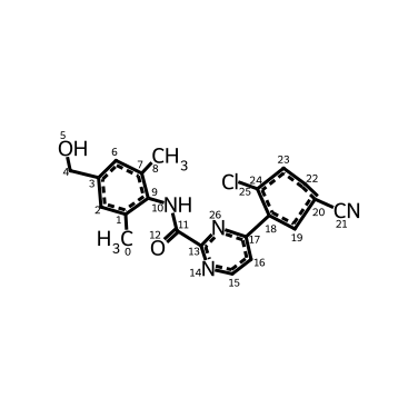 Cc1cc(CO)cc(C)c1NC(=O)c1nccc(-c2cc(C#N)ccc2Cl)n1